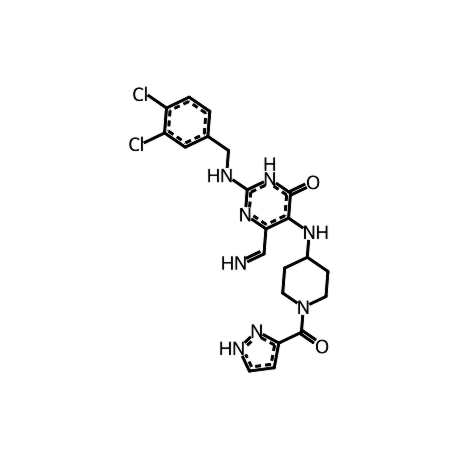 N=Cc1nc(NCc2ccc(Cl)c(Cl)c2)[nH]c(=O)c1NC1CCN(C(=O)c2cc[nH]n2)CC1